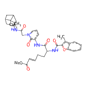 COC(=O)/C=C/CCC(NC(=O)c1oc2ccccc2c1C)C(=O)Nc1cccn(CC(=O)NC2CC3CC(C2)C3(C)C)c1=O